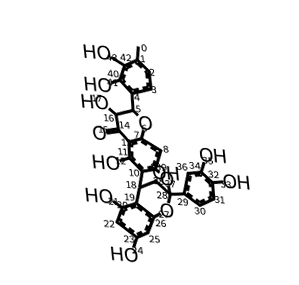 Cc1ccc(C2Oc3cc4c(c(O)c3C(=O)C2O)C2c3c(O)cc(O)cc3OC(c3ccc(O)c(O)c3)(O4)C2O)c(O)c1O